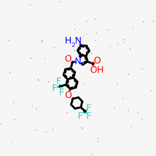 Nc1ccc2c(C(=O)O)cn(C(=O)c3ccc4c(C(F)(F)F)c(OC5CCC(C(F)(F)F)CC5)ccc4c3)c2c1